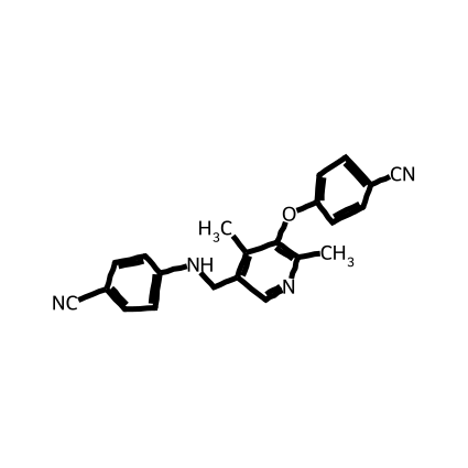 Cc1ncc(CNc2ccc(C#N)cc2)c(C)c1Oc1ccc(C#N)cc1